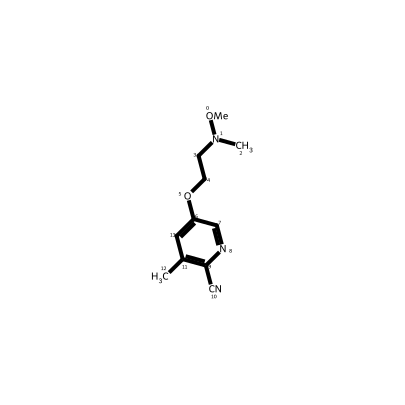 CON(C)CCOc1cnc(C#N)c(C)c1